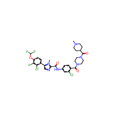 CN1CCC(C(=O)N2CCN(C(=O)c3ccc(NC(=O)c4ncc(-c5ccc(OC(F)F)c(F)c5Cl)n4C)cc3Cl)CC2)CC1